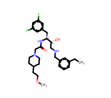 CCc1cccc(CNC[C@@H](O)[C@H](Cc2cc(F)cc(F)c2)NC(=O)CN2CCC(CCOC)CC2)c1